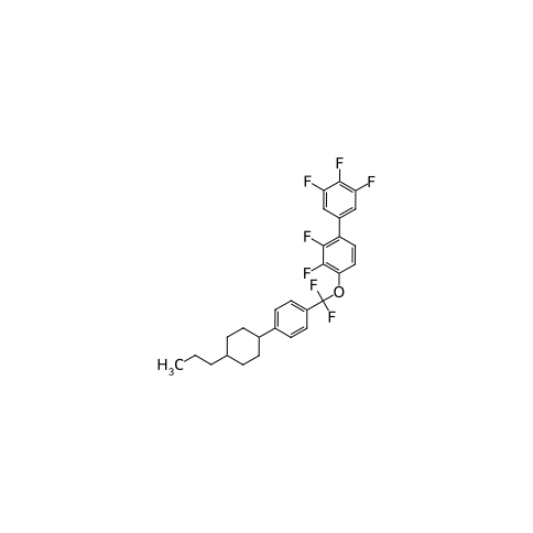 CCCC1CCC(c2ccc(C(F)(F)Oc3ccc(-c4cc(F)c(F)c(F)c4)c(F)c3F)cc2)CC1